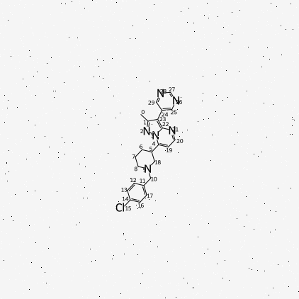 Cc1nn2c(C3CCCN(Cc4ccc(Cl)cc4)C3)ccnc2c1-c1cncnc1